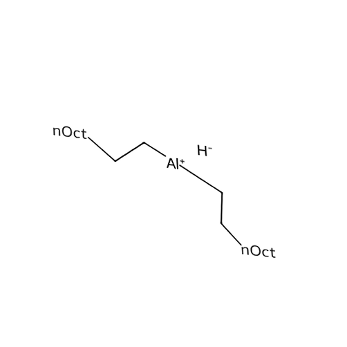 CCCCCCCCC[CH2][Al+][CH2]CCCCCCCCC.[H-]